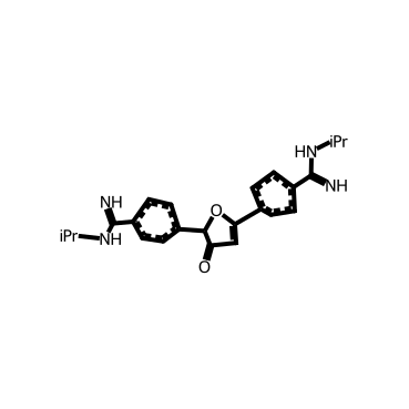 CC(C)NC(=N)c1ccc(C2=CC(=O)C(c3ccc(C(=N)NC(C)C)cc3)O2)cc1